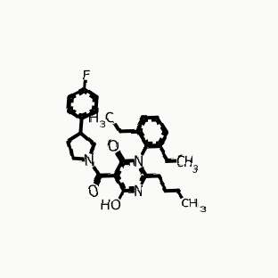 CCCCc1nc(O)c(C(=O)N2CCC(c3ccc(F)cc3)C2)c(=O)n1-c1c(CC)cccc1CC